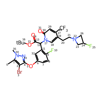 Cc1c(Br)c(Oc2ccc(F)c(C(C(=O)OC(C)(C)C)n3cc(CCN4CC(F)C4)c(C(F)(F)F)cc3=O)c2)nn1C